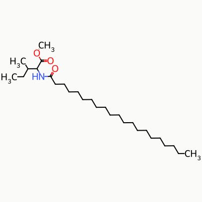 CCCCCCCCCCCCCCCCCCCCC(=O)NC(C(=O)OC)C(C)CC